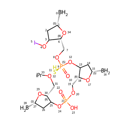 B[C@H]1CC(OI)[C@@H](CO[P@](=O)(S)OC2C[C@H](B)O[C@@H]2COP(=O)(O)OC2C[C@H](B)O[C@@H]2COC(C)C)O1